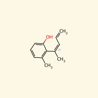 C=C/C=C(/C)c1c(C)cccc1O